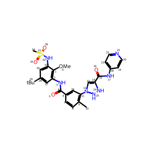 COc1c(NC(=O)c2ccc(C)c(N3C=C(C(=O)Nc4ccncc4)NN3)c2)cc(C(C)(C)C)cc1NS(C)(=O)=O